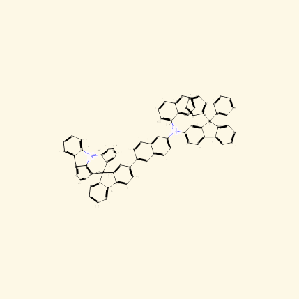 c1ccc(C2(c3ccccc3)c3ccccc3-c3ccc(N(c4ccc5cc(-c6ccc7c(c6)C6(c8ccccc8-7)c7ccccc7-n7c8ccccc8c8cccc6c87)ccc5c4)c4cccc5ccccc45)cc32)cc1